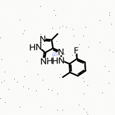 CC1=NNC(=N)/C1=N\Nc1c(C)cccc1F